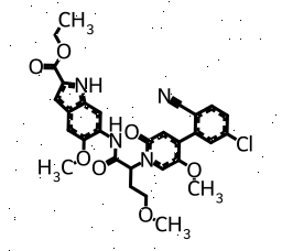 CCOC(=O)c1cc2cc(OC)c(NC(=O)C(CCOC)n3cc(OC)c(-c4cc(Cl)ccc4C#N)cc3=O)cc2[nH]1